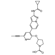 CC#Cc1cc(-c2ccn3nc(NC(=O)C4CC4)cc3c2)c(OC2CCN(C(=O)O)C2)cn1